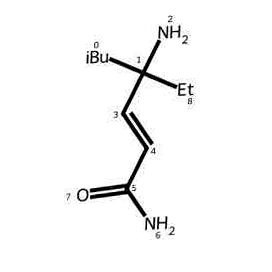 CCC(C)C(N)(C=CC(N)=O)CC